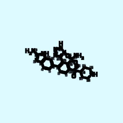 Nc1nc2ccc(-c3ccc(S(=O)(=O)C4CCNCC4)c(S(N)(=O)=O)c3-c3nn[nH]n3)cc2[nH]1